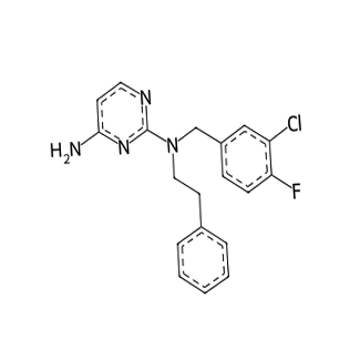 Nc1ccnc(N(CCc2ccccc2)Cc2ccc(F)c(Cl)c2)n1